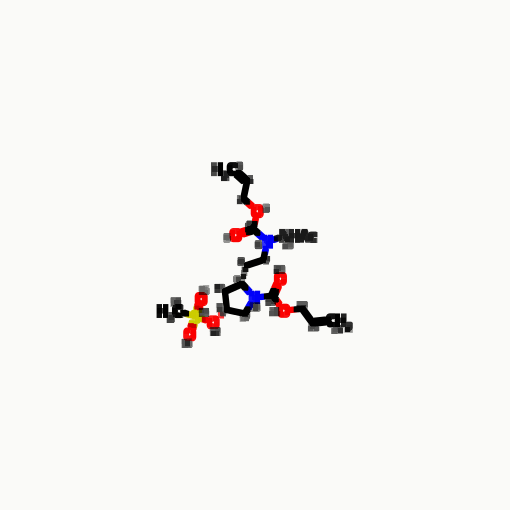 C=CCOC(=O)N(CC[C@H]1C[C@@H](OS(C)(=O)=O)CN1C(=O)OCC=C)NC(C)=O